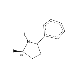 I[C@@H]1CCC(c2ccccc2)N1I